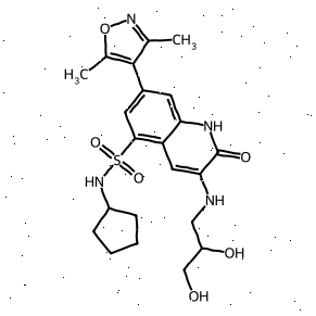 Cc1noc(C)c1-c1cc(S(=O)(=O)NC2CCCC2)c2cc(NCC(O)CO)c(=O)[nH]c2c1